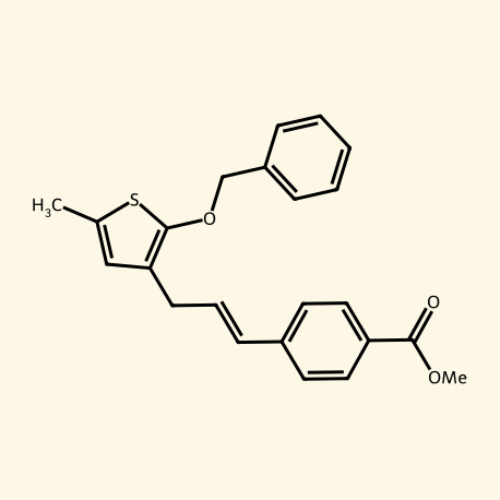 COC(=O)c1ccc(C=CCc2cc(C)sc2OCc2ccccc2)cc1